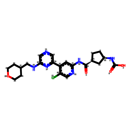 O=C(O)N[C@@H]1CC[C@@H](C(=O)Nc2cc(-c3cncc(NCC4CCOCC4)n3)c(Cl)cn2)C1